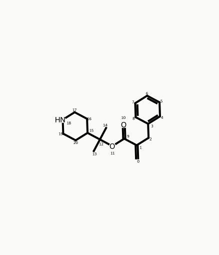 C=C(Cc1ccccc1)C(=O)OC(C)(C)C1CCNCC1